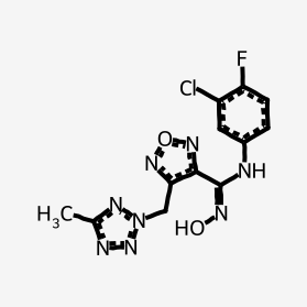 Cc1nnn(Cc2nonc2/C(=N\O)Nc2ccc(F)c(Cl)c2)n1